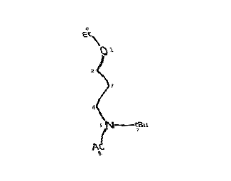 CCOCCCN(C(C)=O)C(C)(C)C